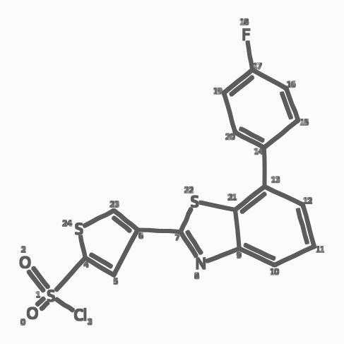 O=S(=O)(Cl)c1cc(-c2nc3cccc(-c4ccc(F)cc4)c3s2)cs1